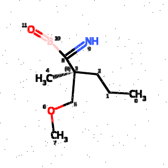 CCC[C@@](C)(COC)C(=N)B=O